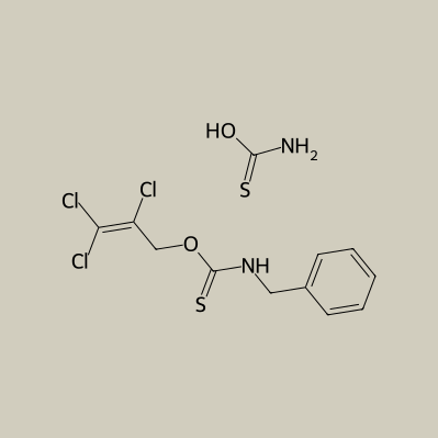 NC(O)=S.S=C(NCc1ccccc1)OCC(Cl)=C(Cl)Cl